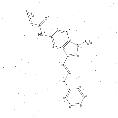 C=CC(=O)Nc1cnc2c(c1)c(C=CCc1ccccc1)cn2C